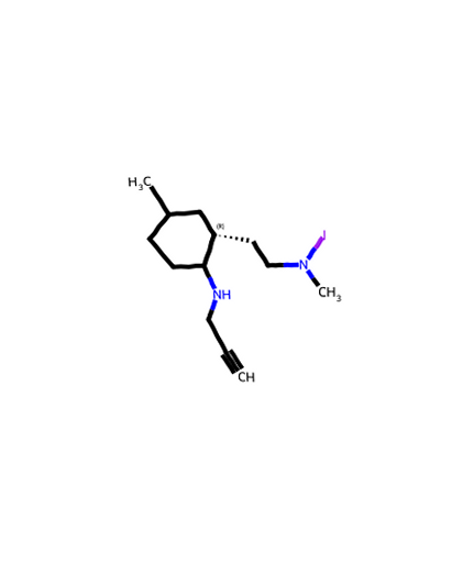 C#CCNC1CCC(C)C[C@@H]1CCN(C)I